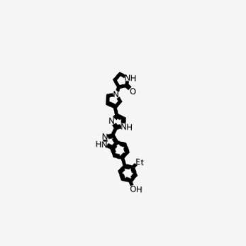 CCc1cc(O)ccc1-c1ccc2c(-c3nc(C4=CCN(C5CCNC5=O)C4)c[nH]3)n[nH]c2c1